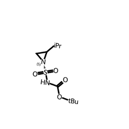 CC(C)C1C[N@@]1S(=O)(=O)NC(=O)OC(C)(C)C